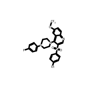 CCc1ccc(S(=O)(=O)c2cnc3ccc(OC(F)(F)F)cc3c2N2CCN(c3ccc(F)cc3)CC2)cc1